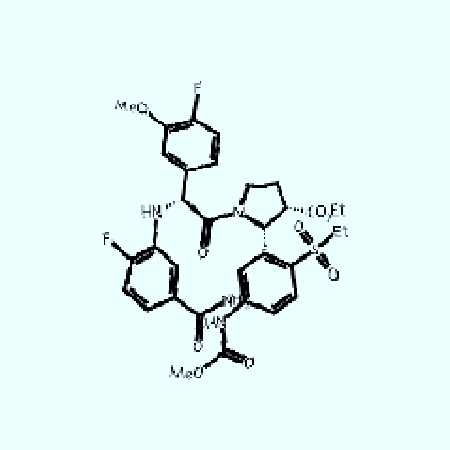 CCOC(=O)[C@H]1CCN(C(=O)[C@H](Nc2cc(C(N)=O)ccc2F)c2ccc(F)c(OC)c2)[C@H]1c1cc(NC(=O)OC)ccc1S(=O)(=O)CC